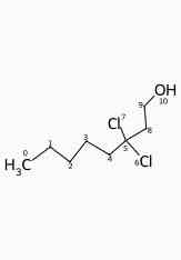 CCCCCC(Cl)(Cl)CCO